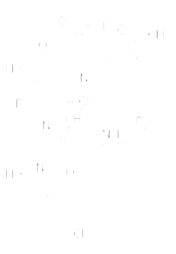 C=CCOC(=O)N(C)C1CN(C2=C(F)C(C)c3c(n(-c4cc(N)c(F)cc4COC(C)=O)cc(C(=O)O)c3=O)C2(C)Cl)C1